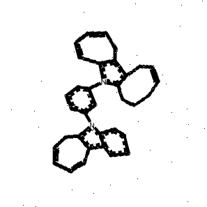 C1=CCc2c3c(n(-c4cccc(-n5c6c(c7ccccc75)C=CC=CC6)c4)c2C=C1)CCC/C=C\C3